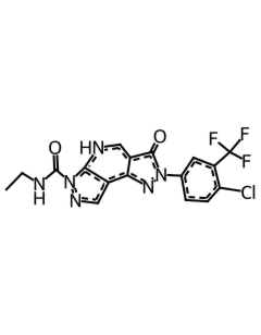 CCNC(=O)n1ncc2c3nn(-c4ccc(Cl)c(C(F)(F)F)c4)c(=O)c-3c[nH]c21